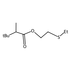 CCSCCOC(=O)C(C)C(C)(C)C